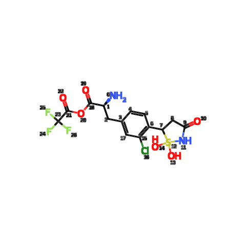 N[C@@H](Cc1ccc(C2CC(=O)NS2(O)O)c(Cl)c1)C(=O)OC(=O)C(F)(F)F